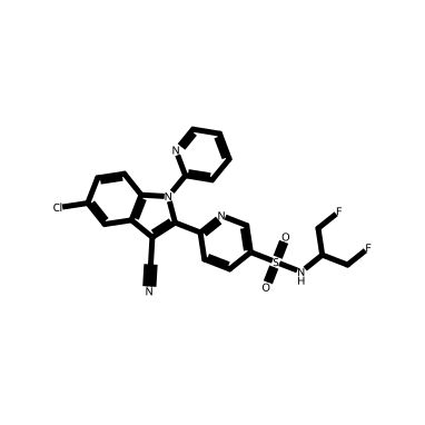 N#Cc1c(-c2ccc(S(=O)(=O)NC(CF)CF)cn2)n(-c2ccccn2)c2ccc(Cl)cc12